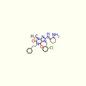 Cn1c(=O)n(CCc2ccccc2)c(=O)c2c1nc(N[C@H]1CCCC[C@H]1N)n2Cc1ccccc1Cl